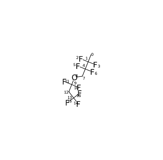 CC(F)(F)C(F)(F)COC(F)(F)CC(F)(F)F